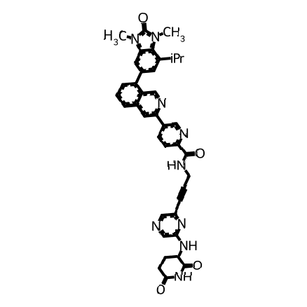 CC(C)c1cc(-c2cccc3cc(-c4ccc(C(=O)NCC#Cc5cncc(NC6CCC(=O)NC6=O)n5)nc4)ncc23)cc2c1n(C)c(=O)n2C